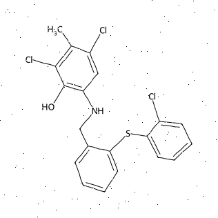 Cc1c(Cl)cc(NCc2ccccc2Sc2ccccc2Cl)c(O)c1Cl